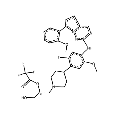 COc1cc(C2CCN(C[C@H](CO)OC(=O)C(F)(F)F)CC2)c(F)cc1Nc1ncc2ccc(-c3ccccc3OC)n2n1